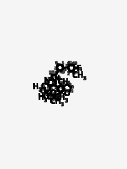 Cc1cc(-c2cccc(-c3cc4nc(C)c([C@H](OC(C)(C)C)C(=O)O)c(-c5cc(F)c6c(c5C)CCCO6)n4n3)c2)ccc1F